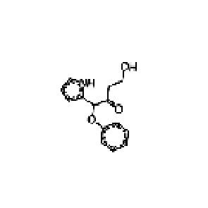 O=C(CCO)C(Oc1ccccc1)c1ccc[nH]1